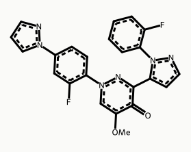 COc1cn(-c2ccc(-n3cccn3)cc2F)nc(-c2ccnn2-c2ccccc2F)c1=O